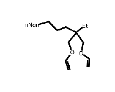 C=COCC(CC)(CCCCCCCCCCCC)COC=C